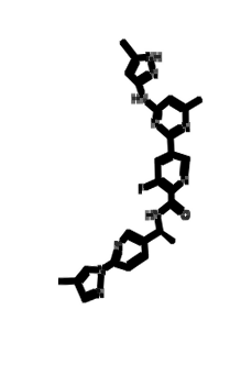 Cc1cnn(-c2ccc([C@H](C)NC(=O)c3ncc(-c4nc(C)cc(Nc5cc(C)[nH]n5)n4)cc3F)cn2)c1